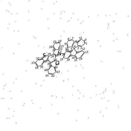 c1ccc(C2(c3ccccc3)c3ccccc3-c3ccc(-n4c5ccccc5c5c6sc7ccccc7c6c6c7ccccc7oc6c54)cc32)cc1